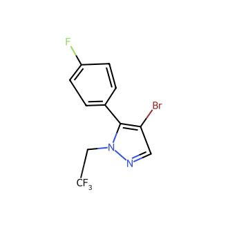 Fc1ccc(-c2c(Br)cnn2CC(F)(F)F)cc1